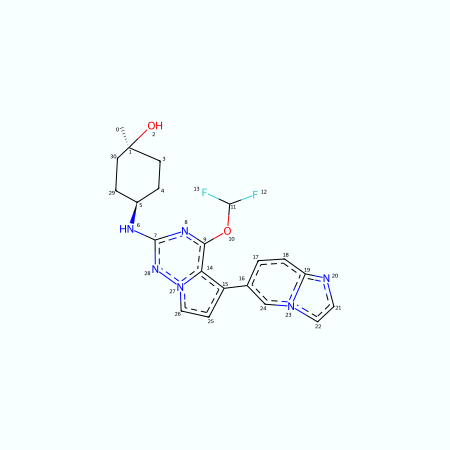 C[C@]1(O)CC[C@@H](Nc2nc(OC(F)F)c3c(-c4ccc5nccn5c4)ccn3n2)CC1